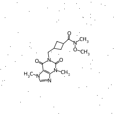 CON(C)C(=O)C1CC(Cn2c(=O)c3c(ncn3C)n(C)c2=O)C1